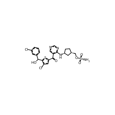 NS(=O)(=O)OC[C@@H]1CC[C@H](Nc2ncncc2C(=O)c2cc(Cl)c(C(O)c3cccc(Cl)c3)s2)C1